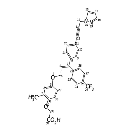 Cc1cc(OCC=C(c2ccc(C#CCn3cccn3)cc2)c2ccc(C(F)(F)F)cc2)ccc1OCC(=O)O